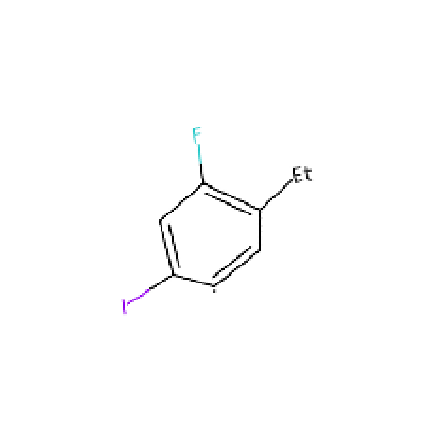 CCc1c[c]c(I)cc1F